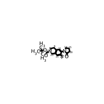 CC(C)(C)OC(=O)N1CCc2cc(N3CCCC3=O)c(F)cc2C1